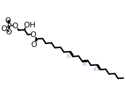 CCCCC/C=C/C/C=C/C/C=C/CCCCCCC(=O)OCC(O)COP1(=O)OO1